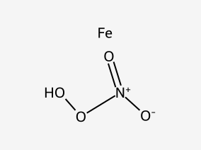 O=[N+]([O-])OO.[Fe]